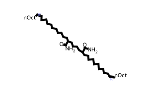 CCCCCCCC/C=C\CCCCCCCCCCC(CCCCC(CCCCCCCCCC/C=C\CCCCCCCC)C(N)=O)C(N)=O